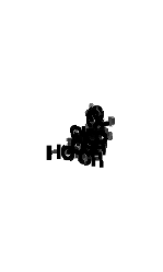 CC(C1OCCO1)[C@H]1CC[C@H]2[C@@H]3C=CC4(O)CC(O)CC(O)[C@]4(C)[C@H]3CC[C@]12C